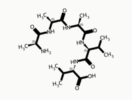 CC(C)[C@H](NC(=O)[C@@H](NC(=O)[C@H](C)NC(=O)[C@H](C)NC(=O)[C@H](C)N)C(C)C)C(=O)O